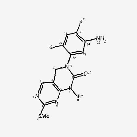 CSc1ncc2c(n1)N(C(C)C)C(=O)N(c1cc(N)c(F)cc1C)C2